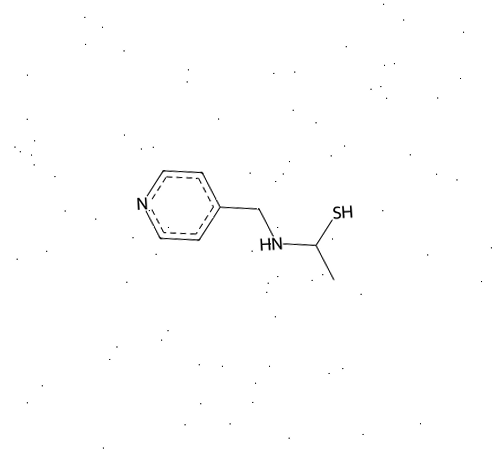 CC(S)NCc1ccncc1